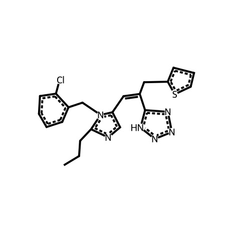 CCCc1ncc(/C=C(/Cc2cccs2)c2nnn[nH]2)n1Cc1ccccc1Cl